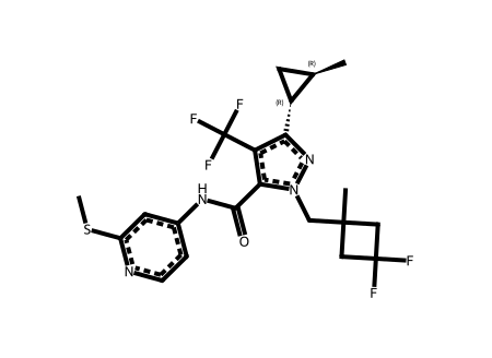 CSc1cc(NC(=O)c2c(C(F)(F)F)c([C@@H]3C[C@H]3C)nn2CC2(C)CC(F)(F)C2)ccn1